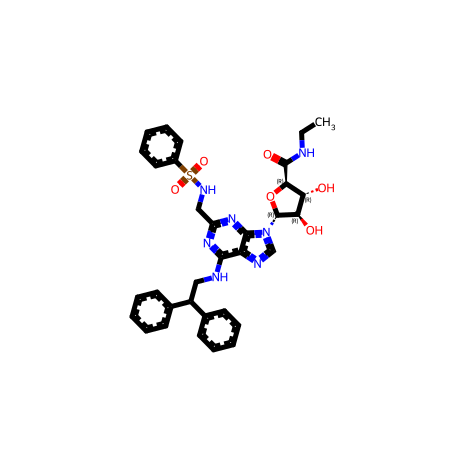 CCNC(=O)[C@@H]1O[C@@H](n2cnc3c(NCC(c4ccccc4)c4ccccc4)nc(CNS(=O)(=O)c4ccccc4)nc32)[C@H](O)[C@H]1O